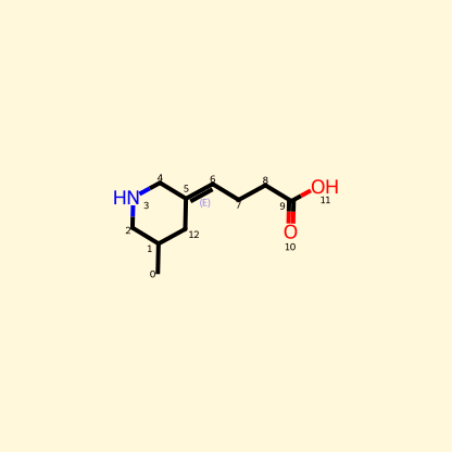 CC1CNC/C(=C/CCC(=O)O)C1